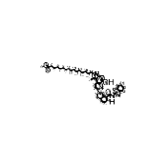 COC(=O)CCCCCCCCCCCCCCCn1nc(C)c(-c2ccc(N3CCc4cccc(C(=O)Nc5nc6ccccc6s5)c4C3)nc2C(=O)O)c1C